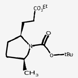 CCOC(=O)CC[C@@H]1CC[C@H](C)N1C(=O)OC(C)(C)C